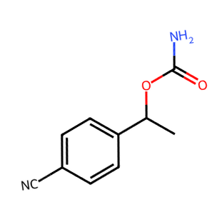 CC(OC(N)=O)c1ccc(C#N)cc1